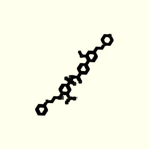 COc1cc(CCN2CCOCC2)ccc1-c1ccc(C(=O)NS(=O)(=O)c2ccc(NCCSc3ccccc3)c([N+](=O)[O-])c2)cc1